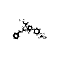 CCC(=O)N[C@]1(NC(=O)OCc2ccccc2)CCN([C@H]2CC[C@H](NC(=O)O)CC2)C1=O